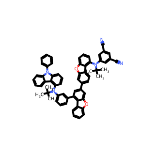 CC(C)(C)N(c1cc(C#N)cc(C#N)c1)c1cccc2oc3cc(-c4cc(-c5cccc(N(c6cccc7c6c6ccccc6n7-c6ccccc6)C(C)(C)C)c5)c5c(c4)oc4ccccc45)ccc3c12